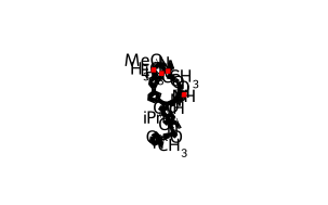 CCn1c(-c2cccnc2[C@H](C)OC)c2c3cc(ccc31)-c1cccc(c1)C[C@H](NC(=O)[C@H](C(C)C)N1CC[C@]3(CCN(C(=O)C#C[C@@H]4COCCN4C)C3)C1=O)C(=O)N1CCC[C@H](N1)C(=O)OCC(C)(C)C2